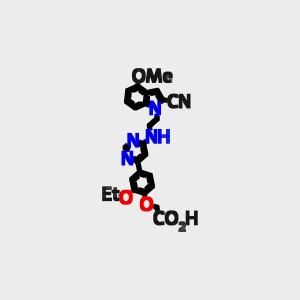 CCOc1cc(-c2cc(NCCn3c(C#N)cc4c(OC)cccc43)ncn2)ccc1OCC(=O)O